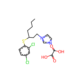 CCCCC(CCn1ccnc1)Sc1ccc(Cl)cc1Cl.O=C(O)C(=O)O